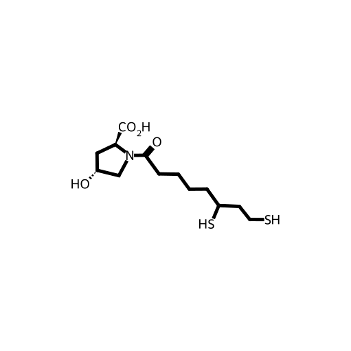 O=C(O)[C@@H]1C[C@@H](O)CN1C(=O)CCCCC(S)CCS